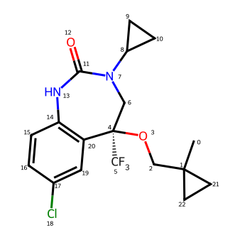 CC1(CO[C@]2(C(F)(F)F)CN(C3CC3)C(=O)Nc3ccc(Cl)cc32)CC1